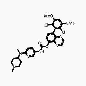 COc1cc(OC)c(Cl)c(-c2ccc(OC(=O)Nc3ccc(N(C)C4CCN(C)CC4)nc3)c3nccnc23)c1Cl